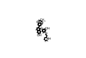 CS(=O)(=O)c1c(F)cc(-c2ccc3cc(O)ccc3c2Oc2ccc(OCCC3CCCCN3)cc2)cc1F.Cl